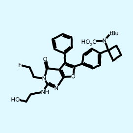 CC(C)(C)N(C(=O)O)C1(c2ccc(-c3oc4nc(NCCO)n(CCF)c(=O)c4c3-c3ccccc3)cc2)CCC1